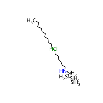 CCCCCCCCCCCCCCCCCCN[SiH2][SiH2][SiH2][SiH3].Cl